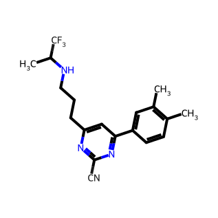 Cc1ccc(-c2cc(CCCNC(C)C(F)(F)F)nc(C#N)n2)cc1C